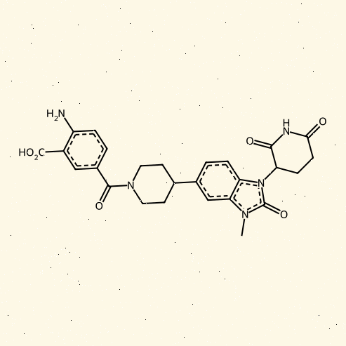 Cn1c(=O)n(C2CCC(=O)NC2=O)c2ccc(C3CCN(C(=O)c4ccc(N)c(C(=O)O)c4)CC3)cc21